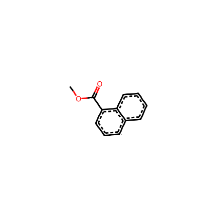 COC(=O)c1cc[c]c2ccccc12